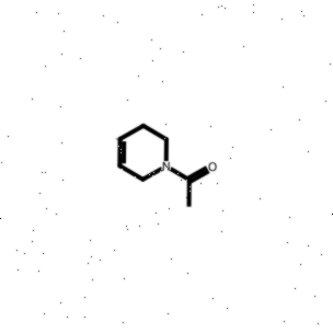 CC(=O)N1CC=[C]CC1